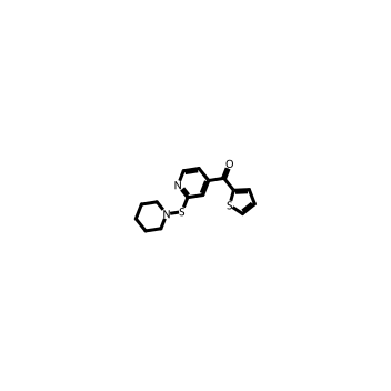 O=C(c1ccnc(SN2CCCCC2)c1)c1cccs1